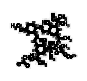 CC(=O)[O-].CC(=O)[O-].COc1ccc(N=Cc2cc(C(C)C)cc(C(C)(C)C)c2O)c(N=Cc2cc(C(C)C)cc(C(C)(C)C)c2O)c1.[Co+2]